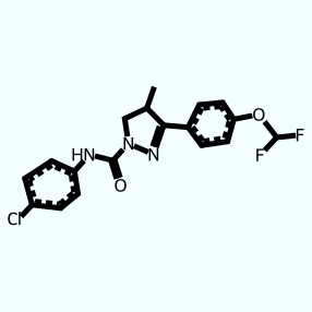 CC1CN(C(=O)Nc2ccc(Cl)cc2)N=C1c1ccc(OC(F)F)cc1